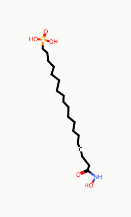 O=C(CCCCCCCCCCCCCCCCCCP(=O)(O)O)NO